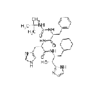 CC(C)(C)NC(=O)N[C@@H](Cc1ccccc1)C(=O)N[C@@H](Cc1c[nH]cn1)C(=O)N[C@@H](CC1CCCCC1)[C@@H](O)c1ncc[nH]1